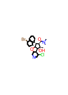 C[C@@H]1[C@H](C(=O)N(C)C)[C@@H](c2ccccc2)[C@]2(c3ccc(Br)cc3)Oc3cncc(Cl)c3[C@]12O